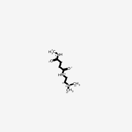 CNC(=O)CCC(=O)NCCN(C)C